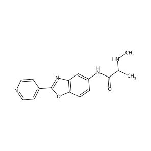 CNC(C)C(=O)Nc1ccc2oc(-c3ccncc3)nc2c1